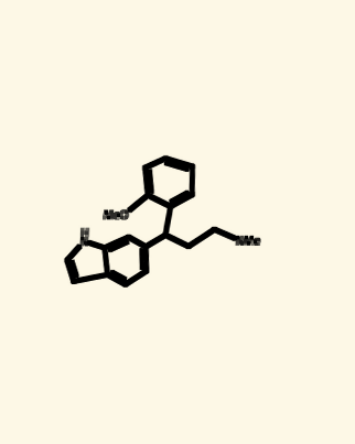 CNCCC(c1ccc2cc[nH]c2c1)c1ccccc1OC